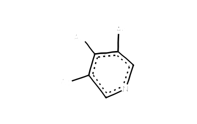 CC(=O)c1[c]ncc(C(C)=O)c1C(C)=O